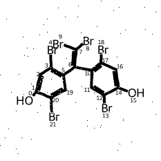 Oc1cc(Br)c(C(=C(Br)Br)c2cc(Br)c(O)cc2Br)cc1Br